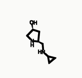 O[C@H]1CN[C@H](CNC2CC2)C1